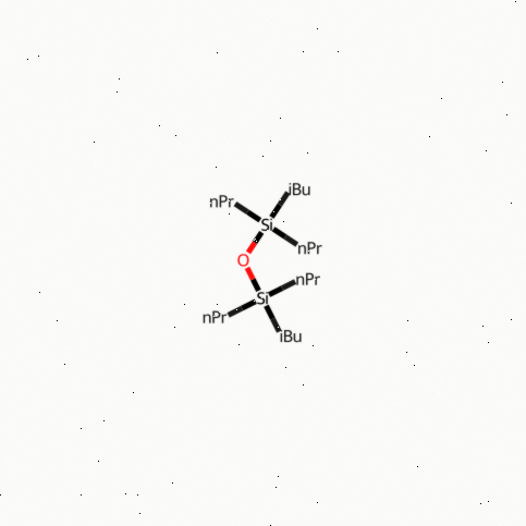 CCC[Si](CCC)(O[Si](CCC)(CCC)C(C)CC)C(C)CC